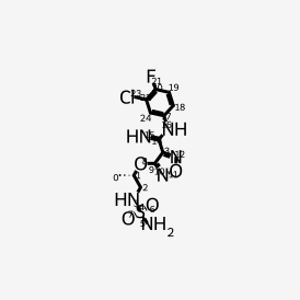 C[C@@H](CNS(N)(=O)=O)Oc1nonc1C(=N)Nc1ccc(F)c(Cl)c1